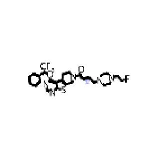 O=C(/C=C/CN1CCN(CCF)CC1)N1CCc2c(sc3ncnc(O[C@@H](c4ccccc4)C(F)(F)F)c23)C1